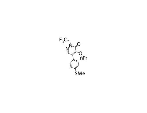 CCCOc1c(-c2ccc(SC)cc2)cnn(CC(F)(F)F)c1=O